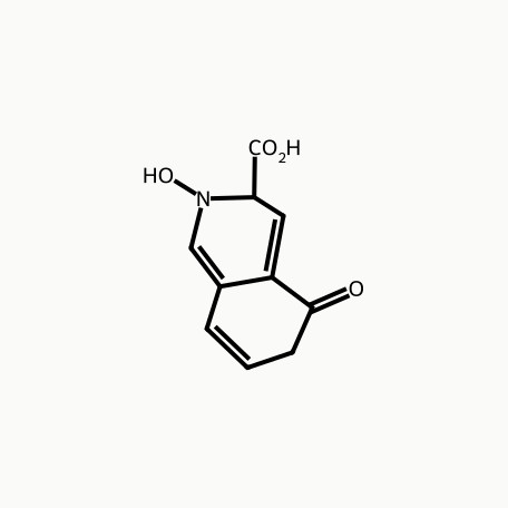 O=C1CC=CC2=CN(O)C(C(=O)O)C=C12